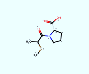 CSC(C)C(=O)N1CCC[C@H]1C(=O)O